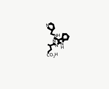 CC(CCC(=O)O)c1nc(NCc2cccnc2)c2c(n1)[nH]c1ccccc12